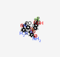 NC(=O)c1ccc2c(c1)N(S(=O)(=O)c1ccc3ccccc3c1)CC2.NCc1cccc(C(=O)N(CC(=O)O)c2ccccc2)c1.O=C(O)C(F)(F)F